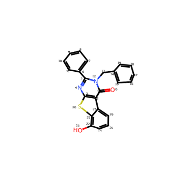 O=c1c2c(nc(-c3ccccc3)n1Cc1ccccc1)sc1c(O)cccc12